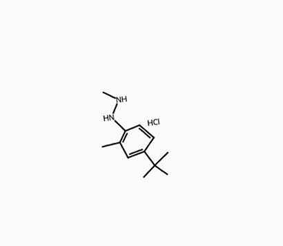 CNNc1ccc(C(C)(C)C)cc1C.Cl